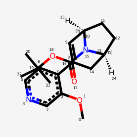 COc1cnccc1C1=C[C@H]2CC[C@@H](C1)N2C(=O)OC(C)(C)C